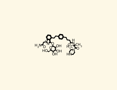 CC(C)(NC(=O)CCCc1ccc(CCc2cccc3c2c(O[C@@H]2O[C@H](CO)[C@@H](O)[C@H](O)[C@H]2O)nn3CC(N)=O)cc1)C(=O)N1CCNCC1